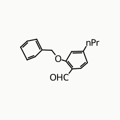 CCCc1ccc(C=O)c(OCc2ccccc2)c1